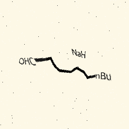 CCCCCCCCC=O.[NaH]